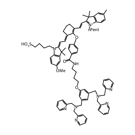 CCCCC[N+]1=C(/C=C/C2=C(Oc3ccc(C(=O)NCCCCOc4cc(CN(Cc5ccccn5)Cc5ccccn5)cc(CN(Cc5ccccn5)Cc5ccccn5)c4)cc3)C(=C/C=C3/N(CCCCS(=O)(=O)O)c4ccc(OC)cc4C3(C)C)/CCC2)C(C)(C)c2cc(C)ccc21